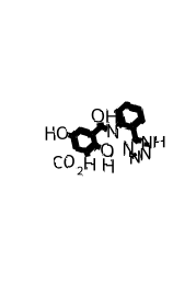 O=C(O)c1cc(O)cc(C(=O)Nc2ccccc2-c2nnn[nH]2)c1O